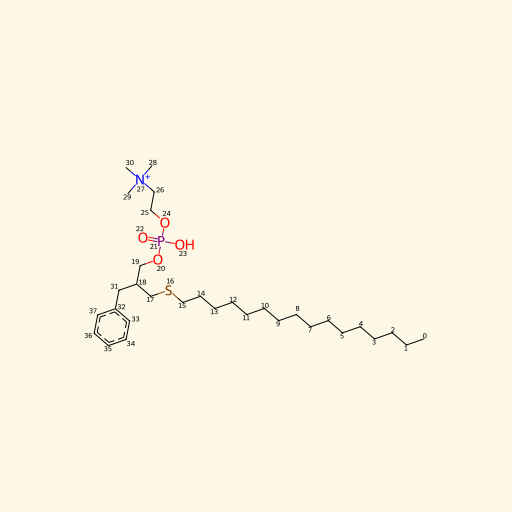 CCCCCCCCCCCCCCCCSCC(COP(=O)(O)OCC[N+](C)(C)C)Cc1ccccc1